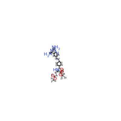 CC(C)(C)OC(=O)CC[C@H](NC(=O)c1ccc(/C=C/c2cnc3nc(N)nc(N)c3c2)cc1)C(=O)OC(C)(C)C